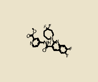 COC(=O)c1cc(NC(=O)c2cc3cc(F)c(F)cc3nc2N2CCCC(F)(F)CC2)ccn1